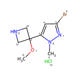 COC1(c2cc(Br)nn2C)CNC1.Cl